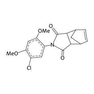 COc1cc(OC)c(N2C(=O)C3C4C=CC(C4)C3C2=O)cc1Cl